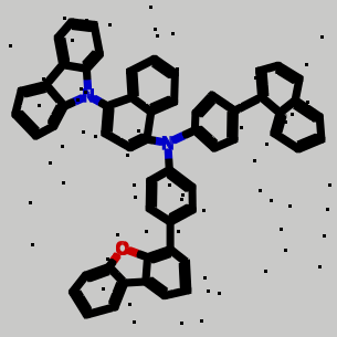 c1ccc2c(-c3ccc(N(c4ccc(-c5cccc6c5oc5ccccc56)cc4)c4ccc(-n5c6ccccc6c6ccccc65)c5ccccc45)cc3)cccc2c1